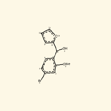 COc1cc(Br)ccc1C(O)c1ccco1